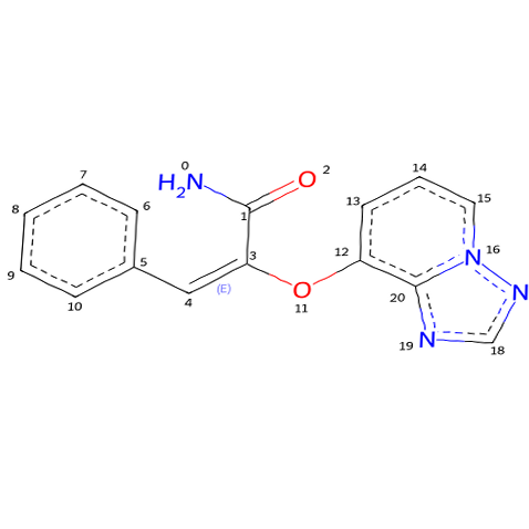 NC(=O)/C(=C\c1ccccc1)Oc1cccn2ncnc12